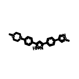 CN1CCN(c2ccc(-c3cc(-c4ccc(-c5cnn(C)c5)cc4)n[nH]3)cc2)CC1